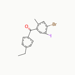 CCc1ccc(C(=O)c2cc(I)c(Br)cc2C)cc1